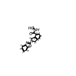 O=C(NO)c1cccc2c1CN(c1nc3ccccc3o1)C2